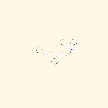 COc1cc(C(=O)N2CCC(CCN3CCC(C(=O)c4nc5ccccc5n4Cc4cccs4)CC3)(c3ccc(Cl)c(Cl)c3)C2)cc(OC)c1OC